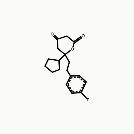 O=C1CC(=O)OC(CCc2ccc(F)cc2)(C2CCCC2)C1